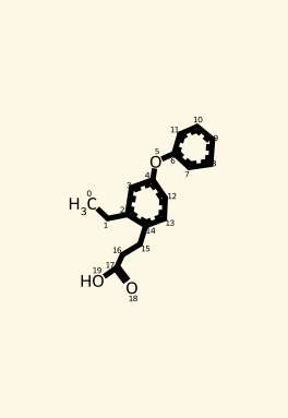 CCc1cc(Oc2ccccc2)ccc1CCC(=O)O